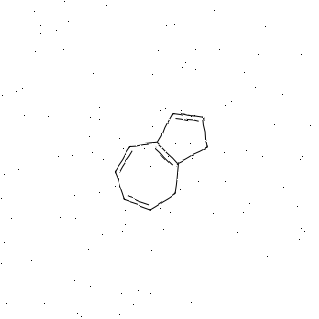 C1=CCC2=C(C=C1)C=CC2